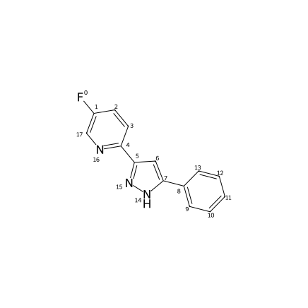 Fc1ccc(-c2cc(-c3ccccc3)[nH]n2)nc1